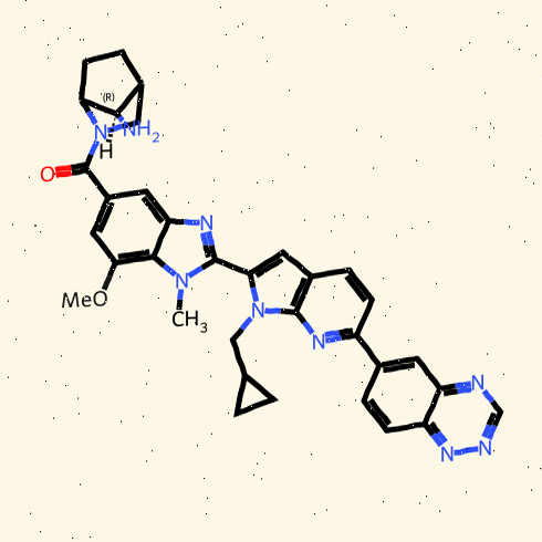 COc1cc(C(=O)N2CC3CCC2[C@@H]3N)cc2nc(-c3cc4ccc(-c5ccc6nncnc6c5)nc4n3CC3CC3)n(C)c12